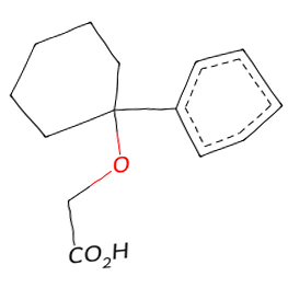 O=C(O)COC1(c2ccccc2)CCCCC1